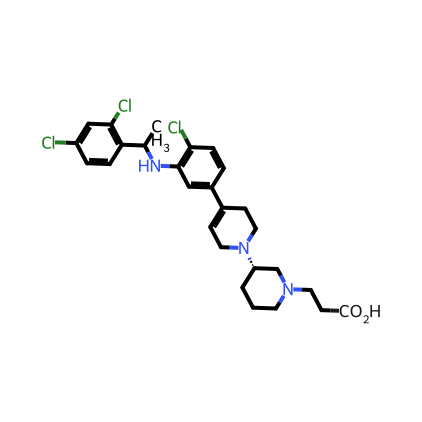 CC(Nc1cc(C2=CCN([C@H]3CCCN(CCC(=O)O)C3)CC2)ccc1Cl)c1ccc(Cl)cc1Cl